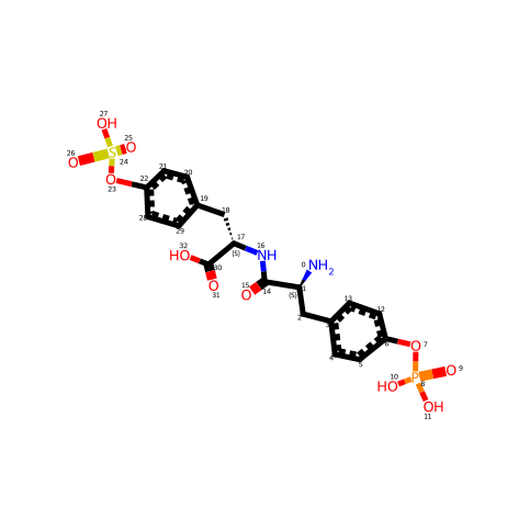 N[C@@H](Cc1ccc(OP(=O)(O)O)cc1)C(=O)N[C@@H](Cc1ccc(OS(=O)(=O)O)cc1)C(=O)O